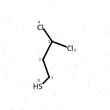 SCCC(Cl)Cl